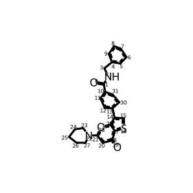 O=C(NCc1ccccc1)c1ccc(-c2csc3c(=O)cc(N4CCCCC4)oc23)cc1